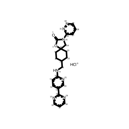 Cl.O=C1OC2(CCC(CNc3ccc(-c4ncccn4)cn3)CC2)CN1c1cccnn1